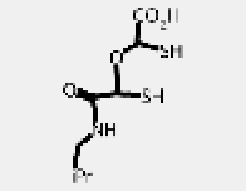 CC(C)CNC(=O)C(S)OC(S)C(=O)O